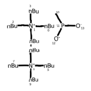 CCCC[N+](CCCC)(CCCC)CCCC.CCCC[N+](CCCC)(CCCC)CCCC.CP([O-])[O-]